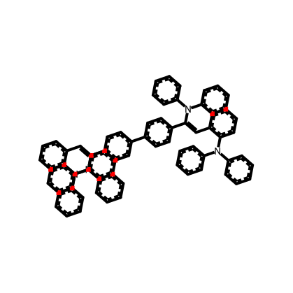 C(=C(c1ccc(-c2ccc(C(=Cc3ccccc3N(c3ccccc3)c3ccccc3)N(c3ccccc3)c3ccccc3)cc2)cc1)N(c1ccccc1)c1ccccc1)c1ccccc1N(c1ccccc1)c1ccccc1